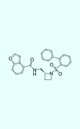 O=C(NC[C@@H]1CCN1S(=O)(=O)c1ccccc1-c1ccccc1)c1cccc2occc12